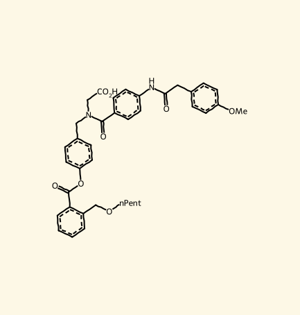 CCCCCOCc1ccccc1C(=O)Oc1ccc(CN(CC(=O)O)C(=O)c2ccc(NC(=O)Cc3ccc(OC)cc3)cc2)cc1